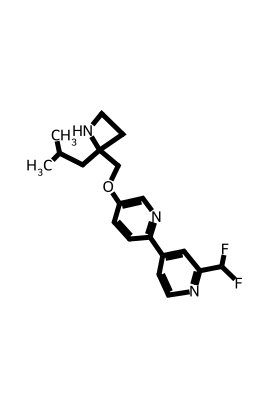 CC(C)CC1(COc2ccc(-c3ccnc(C(F)F)c3)nc2)CCN1